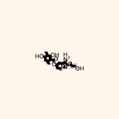 Cc1cc(O)c(C)c(O)c1C(=O)Oc1ccn2nc(OCCO)c(N)c2c1